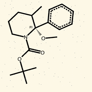 CO[C@@]1(c2ccccc2)C(C)CCCN1C(=O)OC(C)(C)C